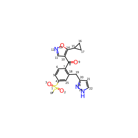 CS(=O)(=O)c1ccc(C(=O)c2cnoc2C2CC2)c(Cc2cc[nH]n2)c1